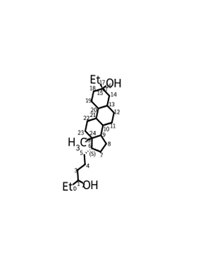 CCC(O)CCC[C@H]1CCC2C3CCC4C[C@](O)(CC)CCC4C3CCC21C